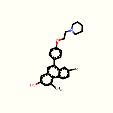 CC(=O)c1ccc2c(c1)c(-c1ccc(OCCN3CCCCC3)cc1)cc1cc(O)cc(C)c12